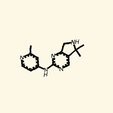 Cc1cc(Nc2ncc3c(n2)CNC3(C)C)ccn1